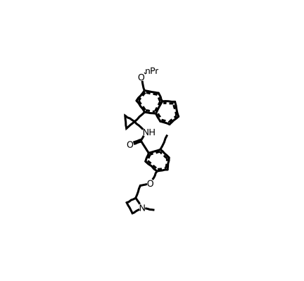 CCCOc1cc(C2(NC(=O)c3cc(OCC4CCN4C)ccc3C)CC2)c2ccccc2c1